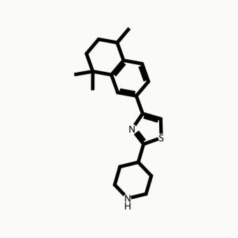 CC1CCC(C)(C)c2cc(-c3csc(C4CCNCC4)n3)ccc21